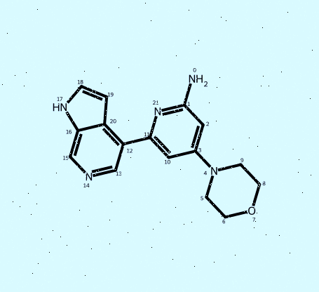 Nc1cc(N2CCOCC2)cc(-c2cncc3[nH]ccc23)n1